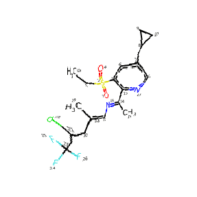 CCS(=O)(=O)c1cc(C2CC2)cnc1/C(C)=N/C=C(\C)CC(Cl)C(F)(F)F